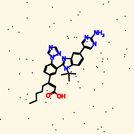 CCCCCC(=CC(=O)O)c1ccc(-n2cncn2)c(-c2nc3cc(-c4cnc(N)nc4)ccc3n2C(C)(C)C)c1